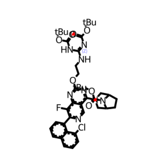 CC(C)(C)OC(=O)/N=C(/NCCOc1nc(N2CC3CCC(C2)N3C(=O)OC(C)(C)C)c2cnc(-c3cccc4cccc(Cl)c34)c(F)c2n1)NC(=O)OC(C)(C)C